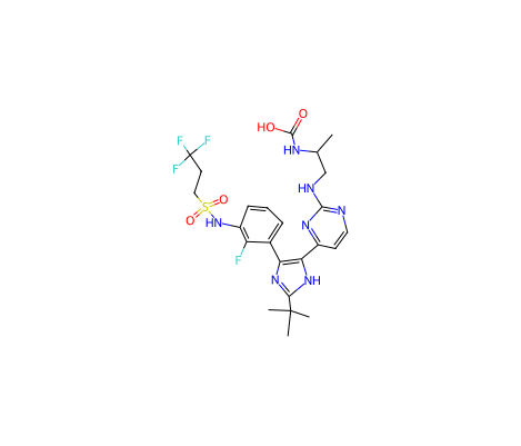 CC(CNc1nccc(-c2[nH]c(C(C)(C)C)nc2-c2cccc(NS(=O)(=O)CCC(F)(F)F)c2F)n1)NC(=O)O